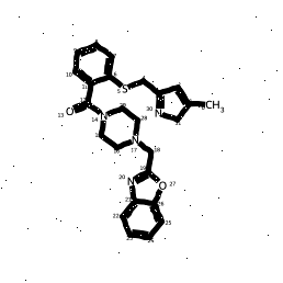 CC1=CC(CSc2ccccc2C(=O)N2CCN(Cc3nc4ccccc4o3)CC2)=NC1